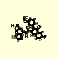 CC(Nc1nc(N)nc2[nH]cnc12)c1cc2ccc(F)cn2c(=O)c1-c1cccc(OC(F)(F)F)c1